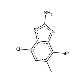 Cc1cc(Cl)c2sc(N)nc2c1C(C)C